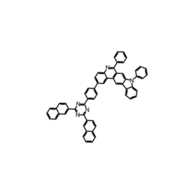 c1ccc(-c2nc3ccc(-c4ccc(-c5nc(-c6ccc7ccccc7c6)nc(-c6ccc7ccccc7c6)n5)cc4)cc3c3cc4c5ccccc5n(-c5ccccc5)c4cc23)cc1